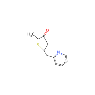 CC1SC(Cc2ccccn2)CC1=O